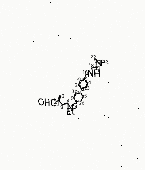 C=C(C=O)CCN(CC)SC1C=CC(c2ccc(CNCCN(C)C)cc2)CC1